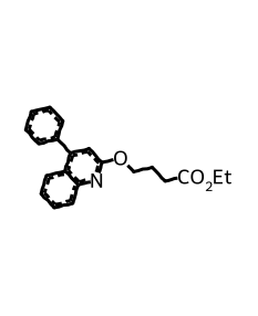 CCOC(=O)CCCOc1cc(-c2ccccc2)c2ccccc2n1